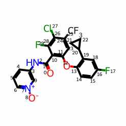 O=C(Nc1ccc[n+]([O-])c1)c1c(Oc2ccc(F)cc2C2CC2)cc(C(F)(F)F)c(Cl)c1F